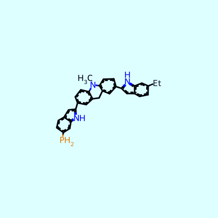 CCc1ccc2cc(-c3ccc4c(c3)Cc3cc(-c5cc6ccc(P)cc6[nH]5)ccc3N4C)[nH]c2c1